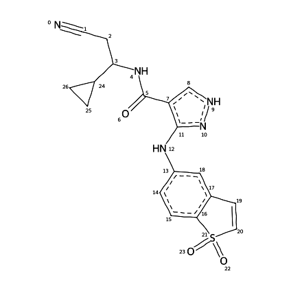 N#CCC(NC(=O)c1c[nH]nc1Nc1ccc2c(c1)C=CS2(=O)=O)C1CC1